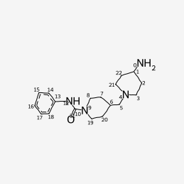 NC1CCN(CC2CCN(C(=O)Nc3ccccc3)CC2)CC1